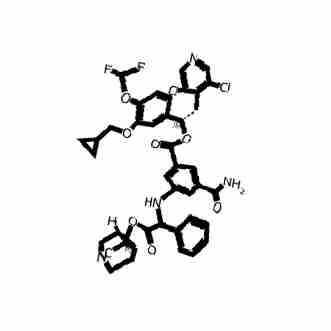 NC(=O)c1cc(NC(C(=O)O[C@H]2CN3CCC2CC3)c2ccccc2)cc(C(=O)O[C@@H](Cc2c(Cl)cncc2Cl)c2ccc(OC(F)F)c(OCC3CC3)c2)c1